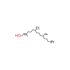 C=CC(CCCC(C)C)CCCC(CC)CCC/C(C)=C/CO